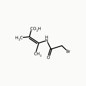 CC(NC(=O)CBr)=C(C)C(=O)O